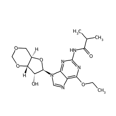 CCOc1nc(NC(=O)C(C)C)nc2c1ncn2[C@@H]1O[C@@H]2COCO[C@H]2[C@H]1O